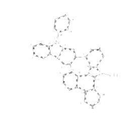 Cn1c2cccc(-c3ccc4c5ccccc5n(-c5ccccc5)c4c3)c2c2c3ccccc3c3ccccc3c21